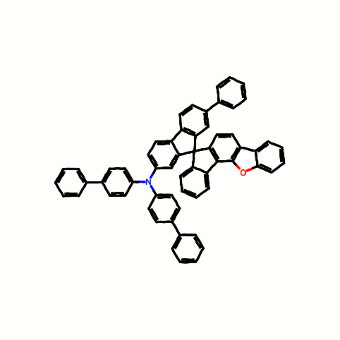 c1ccc(-c2ccc(N(c3ccc(-c4ccccc4)cc3)c3ccc4c(c3)C3(c5cc(-c6ccccc6)ccc5-4)c4ccccc4-c4c3ccc3c4oc4ccccc43)cc2)cc1